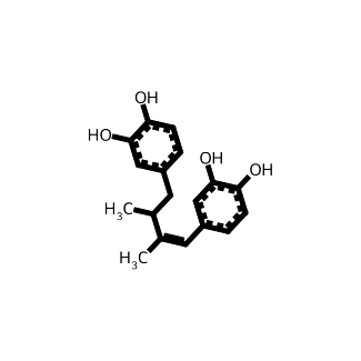 CC(=Cc1ccc(O)c(O)c1)C(C)Cc1ccc(O)c(O)c1